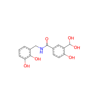 O=C(NCc1cccc(O)c1O)c1ccc(O)c(C(O)O)c1